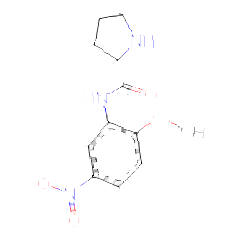 COc1ccc([N+](=O)[O-])cc1NC(=O)[C@@H]1CCCN1